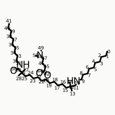 CCCCCCCCCCNCC(C)(C)CCCCCC(CCCCCC(C)(C)C(=O)NCCCCCCCCCC)OC(=O)CCCN(C)C